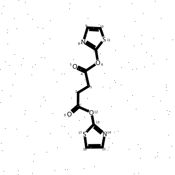 O=C(CCC(=O)Oc1nccs1)Oc1nccs1